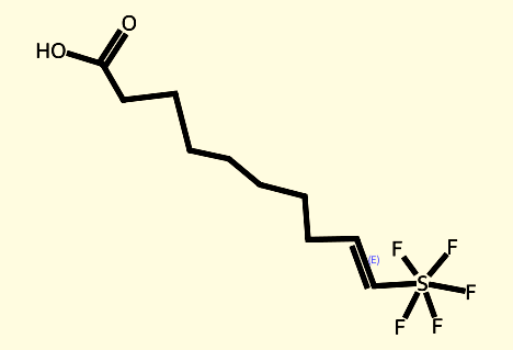 O=C(O)CCCCCCC/C=C/S(F)(F)(F)(F)F